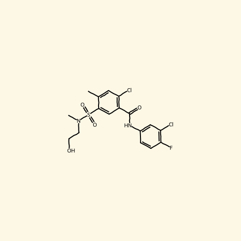 Cc1cc(Cl)c(C(=O)Nc2ccc(F)c(Cl)c2)cc1S(=O)(=O)N(C)CCO